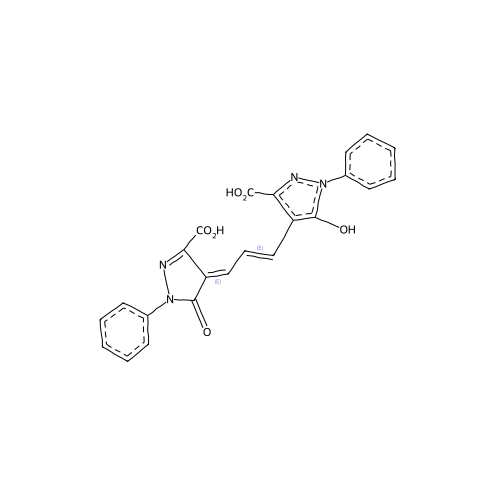 O=C(O)C1=NN(c2ccccc2)C(=O)/C1=C/C=C/c1c(C(=O)O)nn(-c2ccccc2)c1O